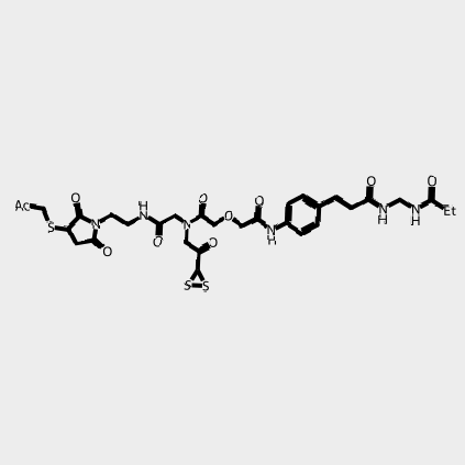 CCC(=O)NCNC(=O)CCc1ccc(NC(=O)COCC(=O)N(CC(=O)NCCN2C(=O)CC(SCC(C)=O)C2=O)CC(=O)C2SS2)cc1